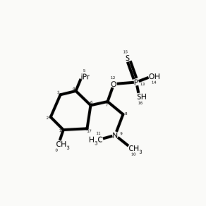 CC1CCC(C(C)C)C(C(CN(C)C)OP(O)(=S)S)C1